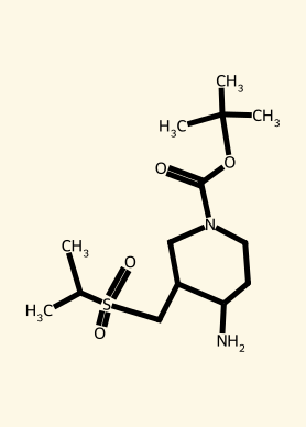 CC(C)S(=O)(=O)CC1CN(C(=O)OC(C)(C)C)CCC1N